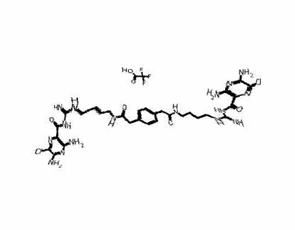 N=C(NCCCCNC(=O)Cc1ccc(CC(=O)NCCCCNC(=N)NC(=O)c2nc(Cl)c(N)nc2N)cc1)NC(=O)c1nc(Cl)c(N)nc1N.O=C(O)C(F)(F)F